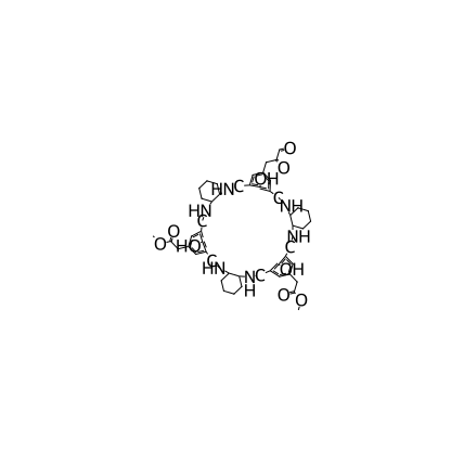 COC(=O)Cc1cc2c(O)c(c1)CNC1CCCCC1NCc1cc(CC(=O)OC)cc(c1O)CNC1CCCCC1NCc1cc(CC(=O)C=O)cc(c1O)CNC1CCCCC1NC2